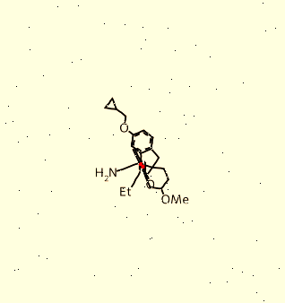 CCN1C(=O)C2(N=C1N)c1cc(OCC3CC3)ccc1CC21CCC(OC)CC1